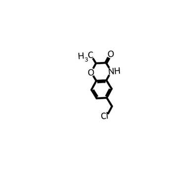 CC1Oc2ccc(CCl)cc2NC1=O